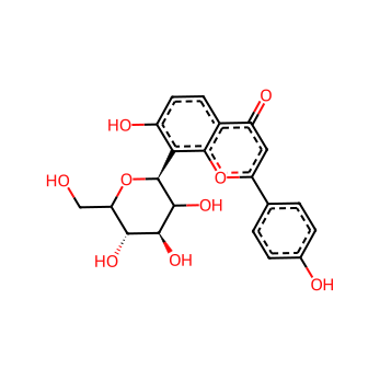 O=c1cc(-c2ccc(O)cc2)oc2c([C@@H]3OC(CO)[C@@H](O)[C@H](O)C3O)c(O)ccc12